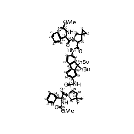 CCCCC1(CCCC)c2cc(NC(=O)C3CC4(CC4)CN3C(=O)C(NC(=O)OC)c3ccccc3)ccc2-c2ccc(NC(=O)[C@@H]3CC(F)(F)CN3C(=O)[C@H](NC(=O)OC)c3ccccc3)cc21